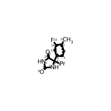 Cc1ccc(C2(C(C)C)NC(=O)NC2=O)cc1F